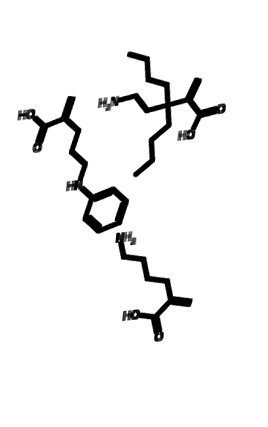 C=C(C(=O)O)C(CCN)(CCCC)CCCC.C=C(CCCCN)C(=O)O.C=C(CCCNc1ccccc1)C(=O)O